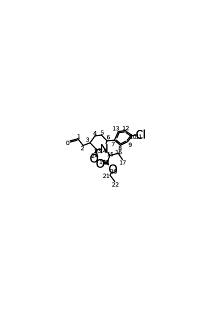 C=CCC1CCC(c2ccc(Cl)cc2)N(C(CC)C(=O)OCC)C1=O